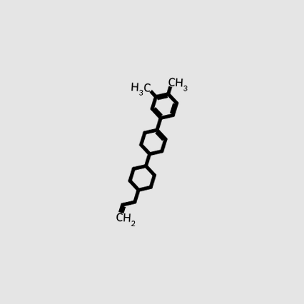 C=CCC1CCC(C2CC=C(c3ccc(C)c(C)c3)CC2)CC1